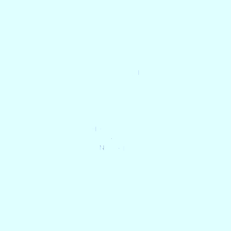 CCCCCCC(C)(C)N1CCC1